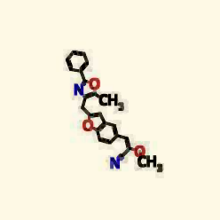 CO/C(C#N)=C/c1ccc2oc(Cc3nc(-c4ccccc4)oc3C)cc2c1